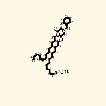 CCCCC/C=C\C/C=C\CCCCCCCCOCCN(Cc1ccccc1)C[C@H](C)OCCCCCCCC/C=C\C/C=C\CCCCC